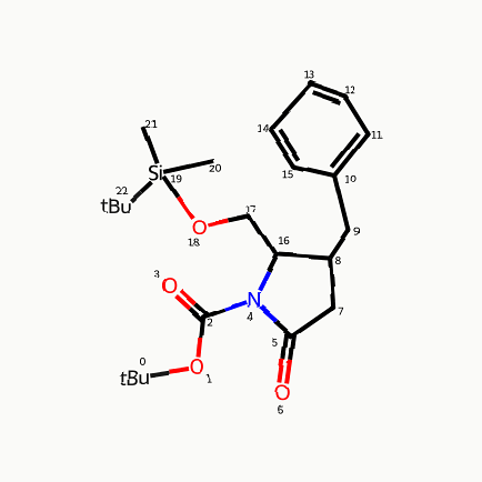 CC(C)(C)OC(=O)N1C(=O)CC(Cc2ccccc2)C1CO[Si](C)(C)C(C)(C)C